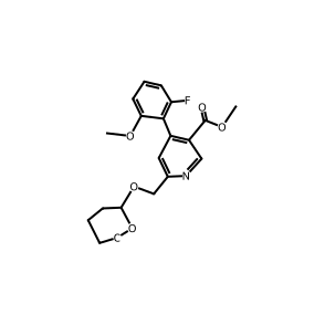 COC(=O)c1cnc(COC2CCCCO2)cc1-c1c(F)cccc1OC